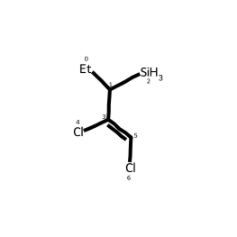 CCC([SiH3])C(Cl)=CCl